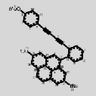 COc1ccc(C#CC#Cc2ccccc2-c2cc3cc(C(C)(C)C)cc4ccc5cc(C(C)(C)C)cc2c5c43)cc1